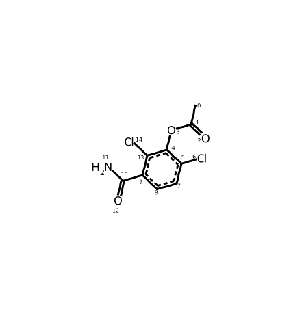 CC(=O)Oc1c(Cl)ccc(C(N)=O)c1Cl